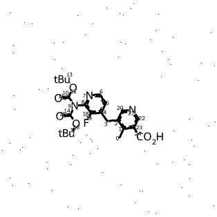 Cc1c(Cc2ccnc(N(C(=O)OC(C)(C)C)C(=O)OC(C)(C)C)c2F)cncc1C(=O)O